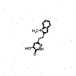 Cn1c(CCc2cc(O)c(=O)[nH]n2)cc2ccccc21